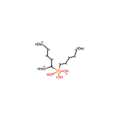 CCCCCCCCCCCCCCP(O)(O)(O)C(CCCCCC)CCCCCCCCCCCCC